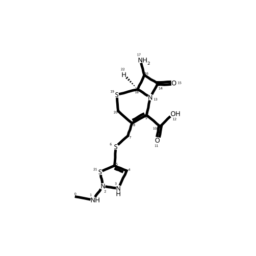 CNN1NC=C(SCC2=C(C(=O)O)N3C(=O)C(N)[C@@H]3SC2)S1